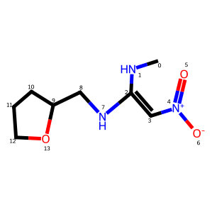 CNC(=C[N+](=O)[O-])NCC1CCCO1